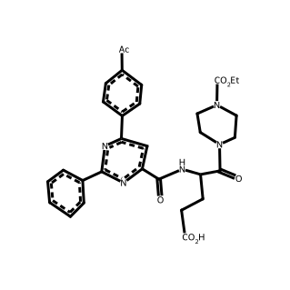 CCOC(=O)N1CCN(C(=O)C(CCC(=O)O)NC(=O)c2cc(-c3ccc(C(C)=O)cc3)nc(-c3ccccc3)n2)CC1